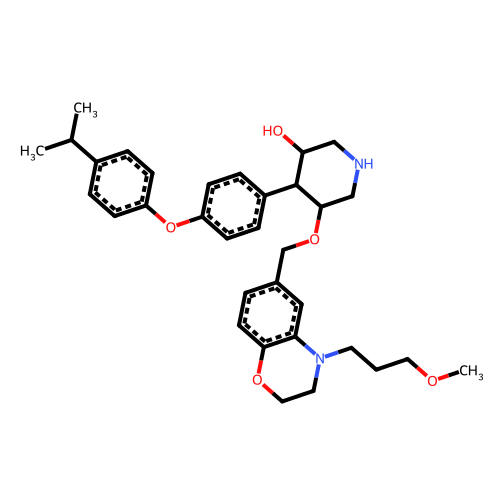 COCCCN1CCOc2ccc(COC3CNCC(O)C3c3ccc(Oc4ccc(C(C)C)cc4)cc3)cc21